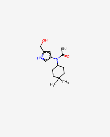 CC1(C)CCC(N(C(=O)C(C)(C)C)c2c[nH]c(CO)c2)CC1